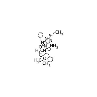 CCCSc1nc(N)c2c(n1)n(Cc1ccccc1)c(=O)n2C(=O)N(C)C(Cc1ccccc1)C(=O)OC(C)C